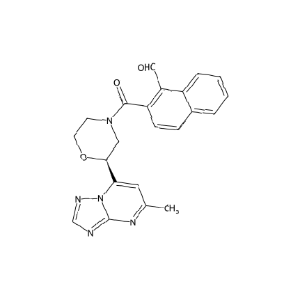 Cc1cc([C@@H]2CN(C(=O)c3ccc4ccccc4c3C=O)CCO2)n2ncnc2n1